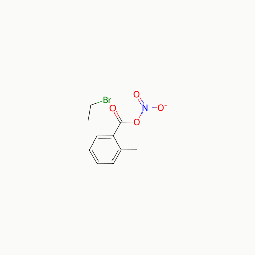 CCBr.Cc1ccccc1C(=O)O[N+](=O)[O-]